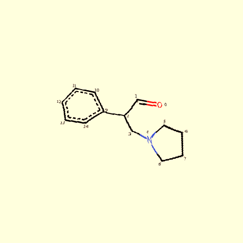 O=[C]C(CN1CCCC1)c1ccccc1